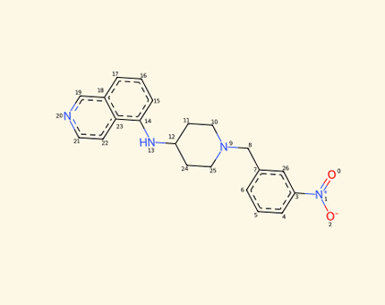 O=[N+]([O-])c1cccc(CN2CCC(Nc3cccc4cnccc34)CC2)c1